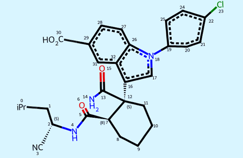 CC(C)C[C@@H](C#N)NC(=O)[C@@H]1CCCC[C@@]1(C(N)=O)c1cn(-c2ccc(Cl)cc2)c2ccc(C(=O)O)cc12